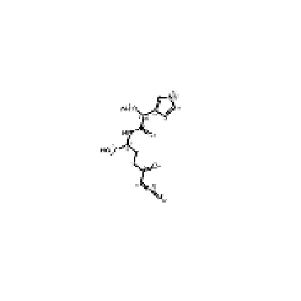 CO[C@H](C(=O)N[C@@H](CCC(=O)C=[N+]=[N-])C(=O)O)c1cc[nH]c1